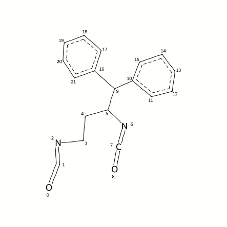 O=C=NCCC(N=C=O)C(c1ccccc1)c1ccccc1